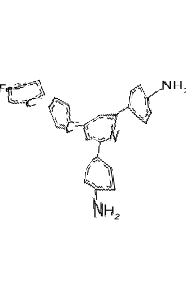 Nc1ccc(-c2cc(-[c-]3cccc3)cc(-c3ccc(N)cc3)n2)cc1.[Fe+2].c1cc[cH-]c1